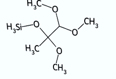 COC(OC)C(C)(OC)O[SiH3]